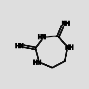 N=C1NCCNC(=N)N1